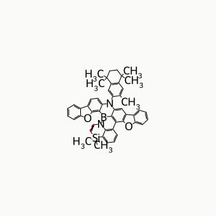 Cc1cc2c(cc1N1c3cc4c(oc5ccccc54)c4c3B(c3c1ccc1c3oc3ccccc31)N1c3ccccc3[Si](C)(C)c3cccc-4c31)C(C)(C)CCC2(C)C